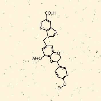 CCOc1ccc(C2COc3cc(Cn4cnc5cc(C(=O)O)cnc54)cc(OC)c3O2)cn1